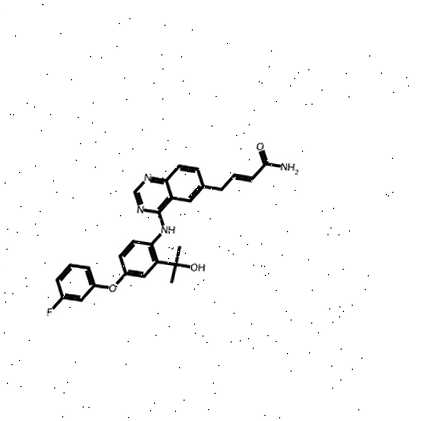 CC(C)(O)c1cc(Oc2cccc(F)c2)ccc1Nc1ncnc2ccc(CC=CC(N)=O)cc12